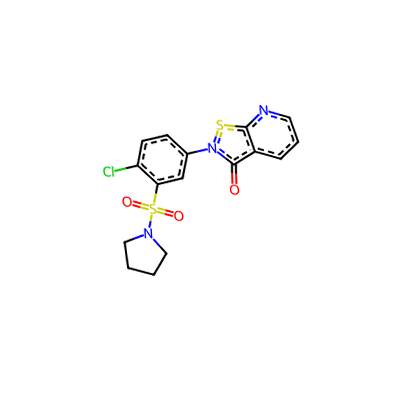 O=c1c2cccnc2sn1-c1ccc(Cl)c(S(=O)(=O)N2CCCC2)c1